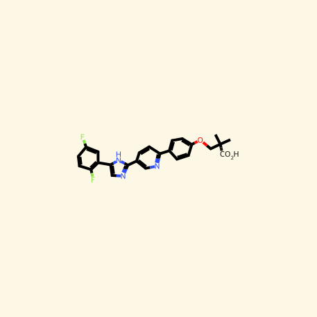 CC(C)(COc1ccc(-c2ccc(-c3ncc(-c4cc(F)ccc4F)[nH]3)cn2)cc1)C(=O)O